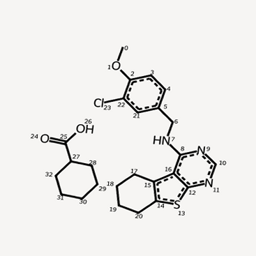 COc1ccc(CNc2ncnc3sc4c(c23)CCCC4)cc1Cl.O=C(O)C1CCCCC1